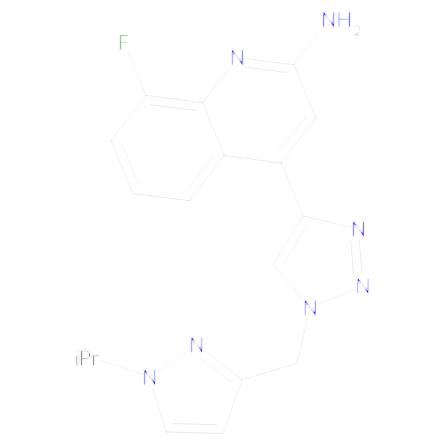 CC(C)n1ccc(Cn2cc(-c3cc(N)nc4c(F)cccc34)nn2)n1